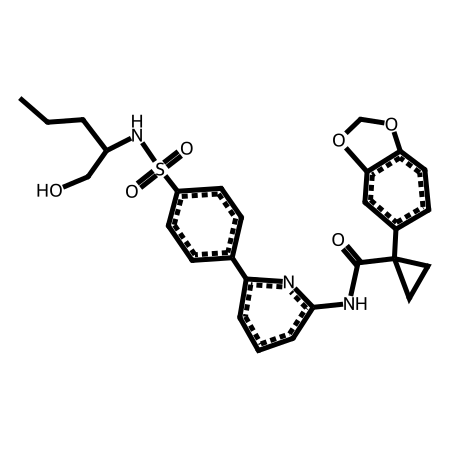 CCCC(CO)NS(=O)(=O)c1ccc(-c2cccc(NC(=O)C3(c4ccc5c(c4)OCO5)CC3)n2)cc1